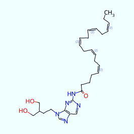 CC/C=C\C/C=C\C/C=C\C/C=C\C/C=C\CCCC(=O)Nc1ncc2ncn(CCC(CO)CO)c2n1